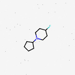 FC1CCN(C2CCCC2)CC1